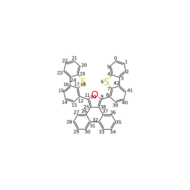 c1ccc2c(c1)sc1c(-c3oc(-c4cccc5c4sc4ccccc45)c4c5ccccc5c5ccccc5c34)cccc12